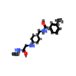 CC(C)(C)NC(=O)CN[C@H]1CC[C@@H](CNC(=O)c2cccc(C(F)(F)F)c2)CC1